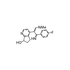 CN/C=C(\C(=N)c1ccc(F)cc1)c1ccnc2c1CCC2O